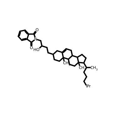 CC(C)CCCC(C)C1CCC2C3CC=C4CC(CCC(O)CN5C(=O)c6ccccc6C5=O)CCC4(C)C3CCC12C